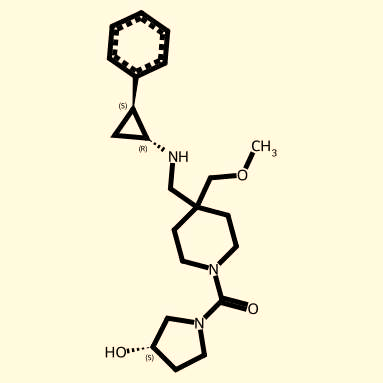 COCC1(CN[C@@H]2C[C@H]2c2ccccc2)CCN(C(=O)N2CC[C@H](O)C2)CC1